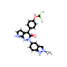 Cn1cc2cc(-n3nc4[nH]ccc4c(-c4ccc(OC(F)F)cc4)c3=O)ccc2n1